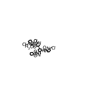 CS(=O)(=O)N(C(=O)c1cccc(CCl)n1)c1cc(-c2cc(NC(=O)c3cccc(CCl)n3)c3cnn(S(=O)(=O)c4ccccc4)c3c2)cnc1Cl